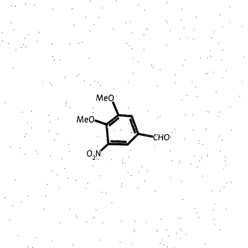 COc1cc([C]=O)cc([N+](=O)[O-])c1OC